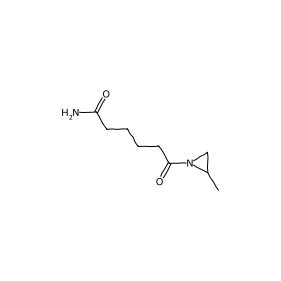 CC1CN1C(=O)CCCCC(N)=O